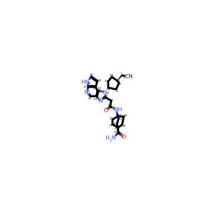 N#CC[C@H]1CC[C@H](n2c(CC(=O)NC34CCC(C(N)=O)(CC3)CC4)nc3cnc4[nH]ccc4c32)CC1